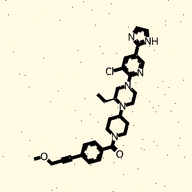 CC[C@H]1CN(c2ncc(-c3ncc[nH]3)cc2Cl)CCN1C1CCN(C(=O)c2ccc(C#CCOC)cc2)CC1